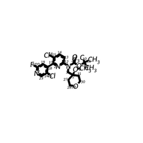 COC1(CN(C(=O)OC(C)(C)C)c2ccc(Cl)c(-c3cc(F)ncc3Cl)n2)CCOCC1